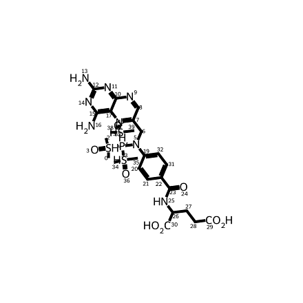 C[SH](C)(=O)[PH](N(Cc1cnc2nc(N)nc(N)c2n1)c1ccc(C(=O)NC(CCC(=O)O)C(=O)O)cc1)([SH](C)(C)=O)[SH](C)(C)=O